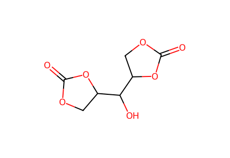 O=C1OCC(C(O)C2COC(=O)O2)O1